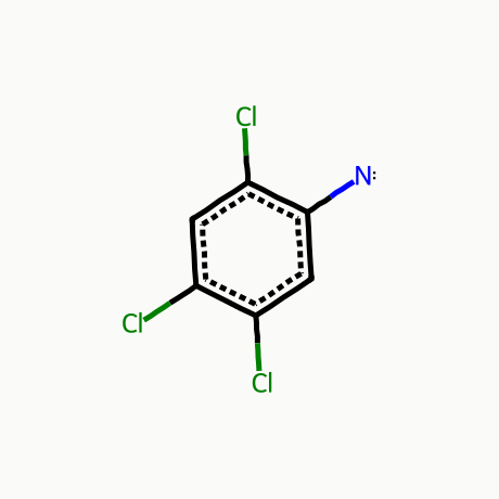 [N]c1cc(Cl)c(Cl)cc1Cl